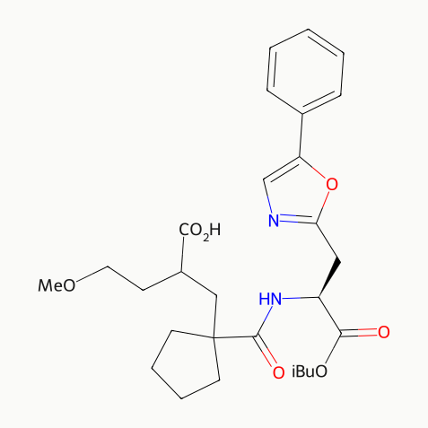 COCCC(CC1(C(=O)N[C@@H](Cc2ncc(-c3ccccc3)o2)C(=O)OCC(C)C)CCCC1)C(=O)O